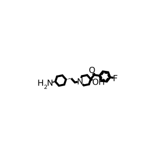 N[C@H]1CC[C@H](CCN2CCC(O)(C(=O)c3ccc(F)cc3)CC2)CC1